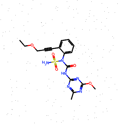 CCOCC#Cc1ccccc1N(C(=O)Nc1nc(C)nc(OC)n1)S(N)(=O)=O